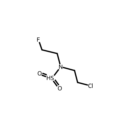 O=[SH](=O)N(CCF)CCCl